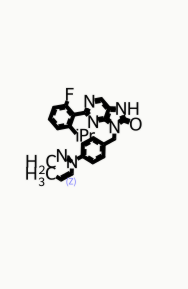 C=NN(/C=C\C)c1ccc(Cn2c(=O)[nH]c3cnc(-c4c(F)cccc4C(C)C)nc32)cc1